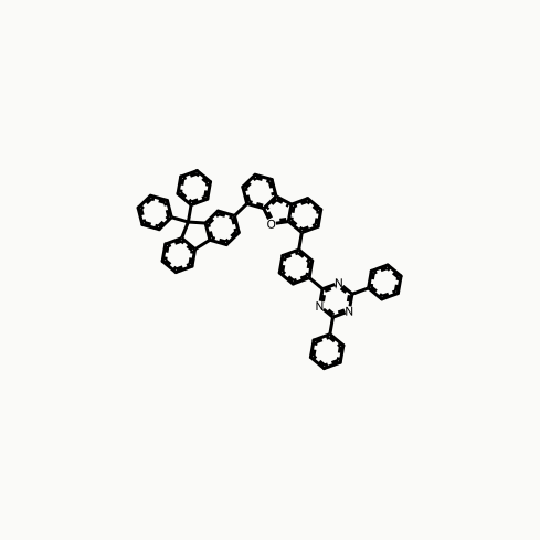 c1ccc(-c2nc(-c3ccccc3)nc(-c3cccc(-c4cccc5c4oc4c(-c6ccc7c(c6)C(c6ccccc6)(c6ccccc6)c6ccccc6-7)cccc45)c3)n2)cc1